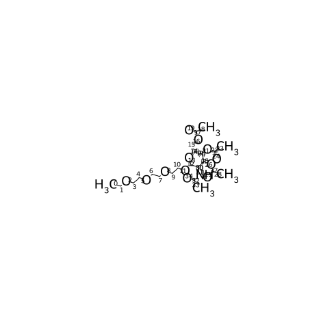 CCOCCOCCOCCOC1O[C@H](COC(C)=O)[C@H](OC(C)=O)[C@H](OC(C)=O)[C@H]1NC(C)=O